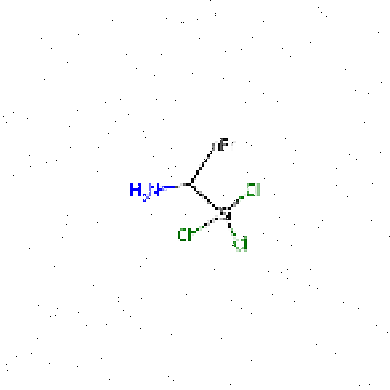 CCCC(N)[Si](Cl)(Cl)Cl